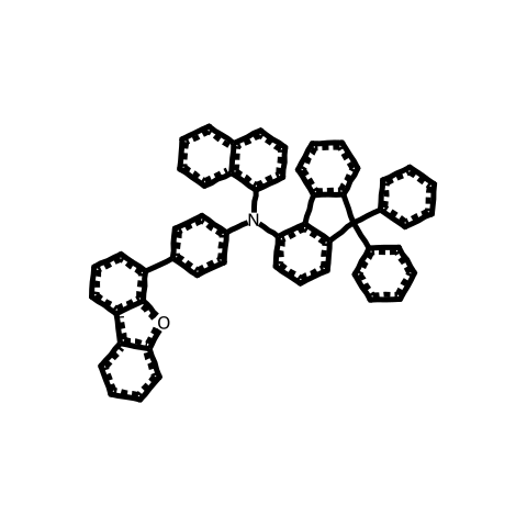 c1ccc(C2(c3ccccc3)c3ccccc3-c3c(N(c4ccc(-c5cccc6c5oc5ccccc56)cc4)c4cccc5ccccc45)cccc32)cc1